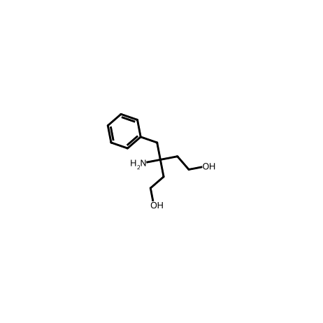 NC(CCO)(CCO)Cc1ccccc1